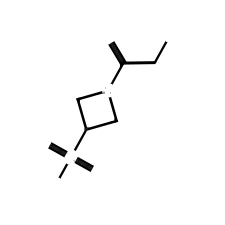 CC(C)(C)CC(=O)N1CC(S(C)(=O)=O)C1